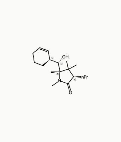 CCC[C@H]1C(=O)N(C)[C@](C)([C@@H](O)[C@@H]2C=CCCC2)C1(C)C